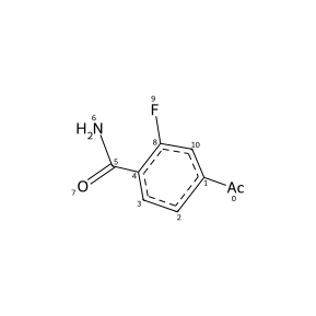 [CH2]C(=O)c1ccc(C(N)=O)c(F)c1